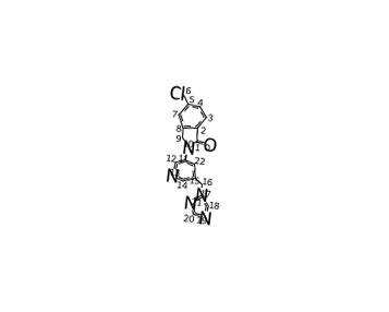 O=C1c2ccc(Cl)cc2CN1c1cncc(Cn2cncn2)c1